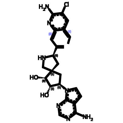 C=C(/C=c1/nc(N)c(Cl)c/c1=C/C)[C@H]1C[C@@]2(CN1)C[C@@H](n1ccc3c(N)ncnc31)[C@H](O)[C@@H]2O